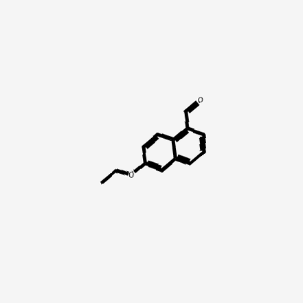 CCOc1ccc2c([C]=O)cccc2c1